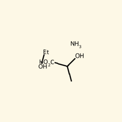 CC(O)C(=O)O.CCO.N